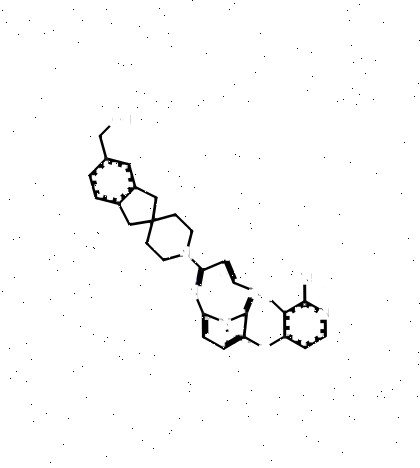 CN1C2=CC=C(Sc3ccnc(N)c3Cl)/C1=N/C=C/C(N1CCC3(CC1)Cc1ccc(CO)cc1C3)=N\2